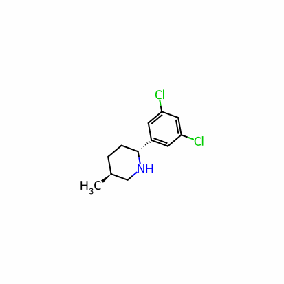 C[C@H]1CC[C@H](c2cc(Cl)cc(Cl)c2)NC1